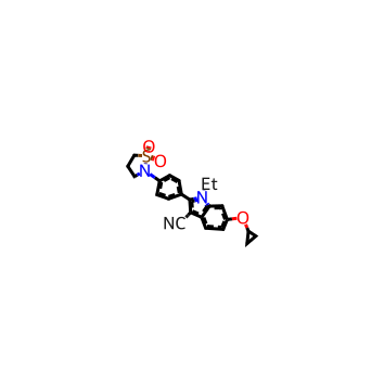 CCn1c(-c2ccc(N3CCCS3(=O)=O)cc2)c(C#N)c2ccc(OC3CC3)cc21